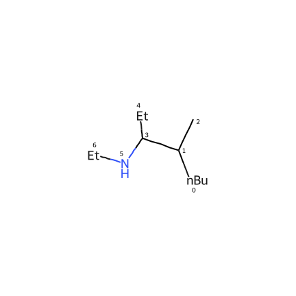 CCCCC(C)C(CC)NCC